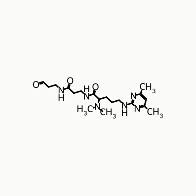 Cc1cc(C)nc(NCCCC(C(=O)NCCC(=O)NCCC=O)N(C)C)n1